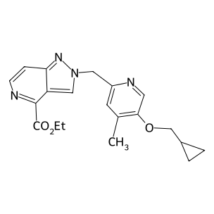 CCOC(=O)c1nccc2nn(Cc3cc(C)c(OCC4CC4)cn3)cc12